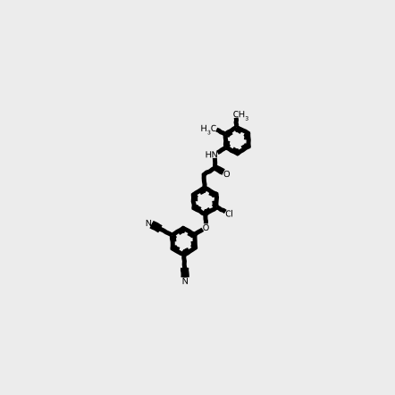 Cc1cccc(NC(=O)Cc2ccc(Oc3cc(C#N)cc(C#N)c3)c(Cl)c2)c1C